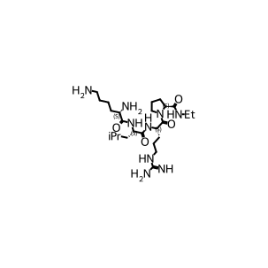 CCNC(=O)[C@@H]1CCCN1C(=O)[C@H](CCCNC(=N)N)NC(=O)[C@H](CC(C)C)NC(=O)[C@@H](N)CCCCN